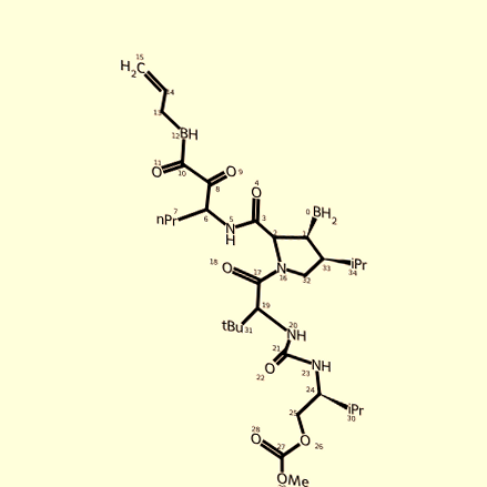 B[C@@H]1C(C(=O)NC(CCC)C(=O)C(=O)BCC=C)N(C(=O)C(NC(=O)N[C@H](COC(=O)OC)C(C)C)C(C)(C)C)C[C@@H]1C(C)C